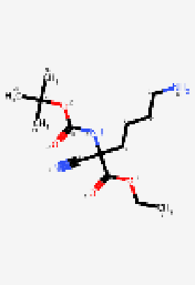 CCOC(=O)C(C#N)(CCCCN)NC(=O)OC(C)(C)C